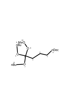 CCCCCCCCCCCCCC(OCCCC)(OCCCC)OOC